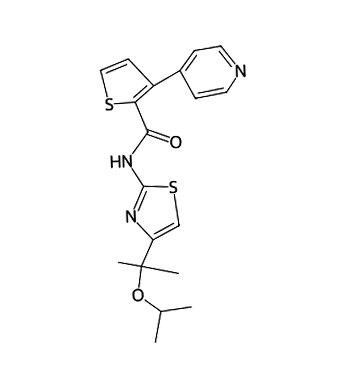 CC(C)OC(C)(C)c1csc(NC(=O)c2sccc2-c2ccncc2)n1